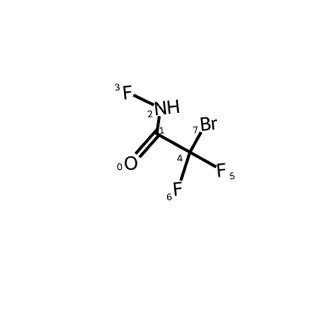 O=C(NF)C(F)(F)Br